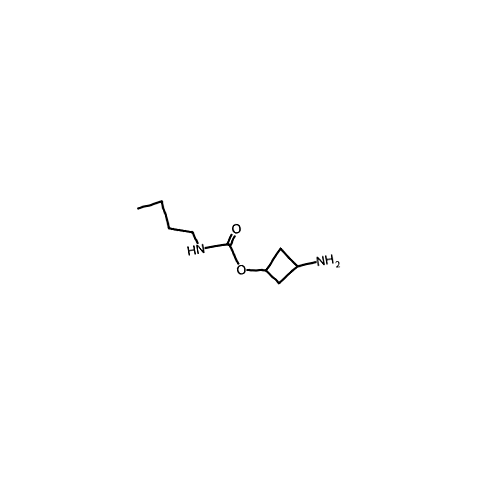 CCCCNC(=O)OC1CC(N)C1